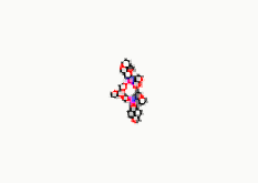 c1ccc(-c2ccc(N(c3cc4ccc5cccc6ccc(c3)c4c56)c3cccc4ccccc34)cc2)c(-c2ccc(N(c3cc4ccc5cccc6ccc(c3)c4c56)c3cccc4ccccc34)cc2)c1